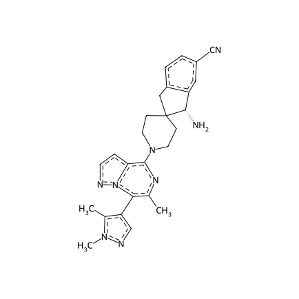 Cc1nc(N2CCC3(CC2)Cc2ccc(C#N)cc2[C@@H]3N)c2ccnn2c1-c1cnn(C)c1C